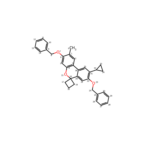 Cc1cc2c(cc1OCc1ccccc1)OC1(CCC1)c1cc(OCc3ccccc3)c(C3CC3)cc1-2